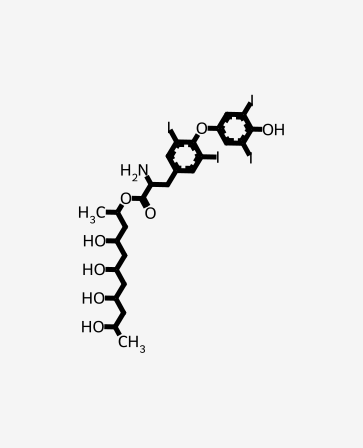 CC(O)CC(O)CC(O)CC(O)CC(C)OC(=O)C(N)Cc1cc(I)c(Oc2cc(I)c(O)c(I)c2)c(I)c1